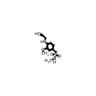 C#CCNc1ccc(CS(=O)(=O)NC)cc1OC